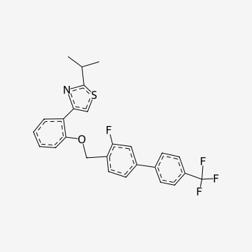 CC(C)c1nc(-c2ccccc2OCc2ccc(-c3ccc(C(F)(F)F)cc3)cc2F)cs1